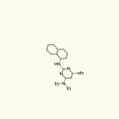 CCCc1cc(N(CC)CC)nc(Nc2cccc3ccccc23)n1